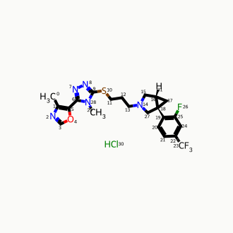 Cc1ncoc1-c1nnc(SCCCN2C[C@@H]3C[C@]3(c3ccc(C(F)(F)F)cc3F)C2)n1C.Cl